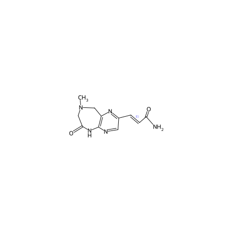 CN1CC(=O)Nc2ncc(/C=C/C(N)=O)nc2C1